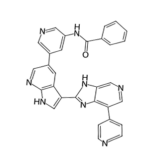 O=C(Nc1cncc(-c2cnc3[nH]cc(-c4nc5c(-c6ccncc6)cncc5[nH]4)c3c2)c1)c1ccccc1